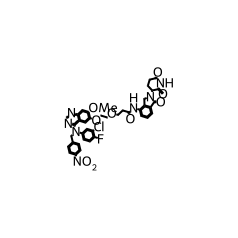 COc1cc2ncnc(N(Cc3ccc([N+](=O)[O-])cc3)c3ccc(F)c(Cl)c3)c2cc1OCCOCCC(=O)Nc1cccc2c1CN(C1CCC(=O)NC1=O)C2=O